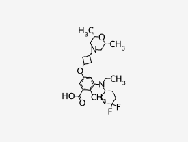 CCN(c1cc(O[C@H]2C[C@H](N3C[C@@H](C)O[C@@H](C)C3)C2)cc(C(=O)O)c1C)C1CCC(F)(F)CC1